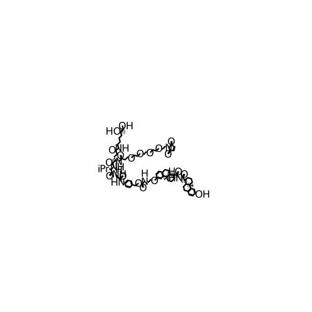 CC(C)C(NC(=O)[C@@H](CCC(=O)NCCCC[C@@H](O)CO)NC(=O)CCOCCOCCOCCOCCN1C(=O)C=CC1=O)C(=O)NCC(=O)Nc1ccc(COC(=O)NCCOc2ccc3c(c2)[C@@]2(C)CCC[C@](C)(C(=O)NC(=O)[C@@]4(C)CCC[C@]5(C)c6cc(O)ccc6CCC45)[C@@H]2CC3)cc1